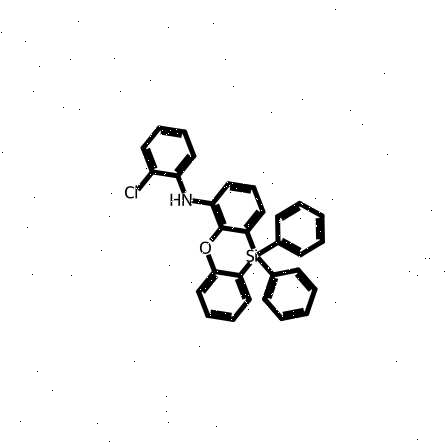 Clc1ccccc1Nc1cccc2c1Oc1ccccc1[Si]2(c1ccccc1)c1ccccc1